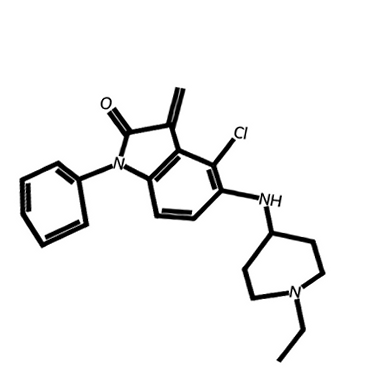 C=C1C(=O)N(c2ccccc2)c2ccc(NC3CCN(CC)CC3)c(Cl)c21